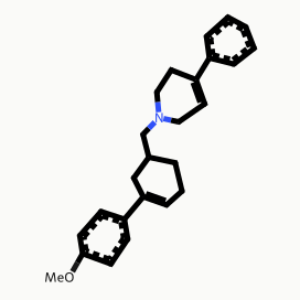 COc1ccc(C2=CCCC(CN3CC=C(c4ccccc4)CC3)C2)cc1